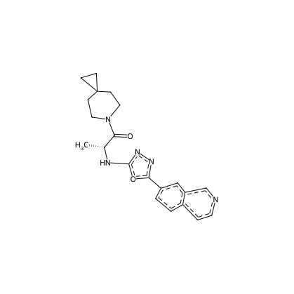 C[C@@H](Nc1nnc(-c2ccc3ccncc3c2)o1)C(=O)N1CCC2(CC1)CC2